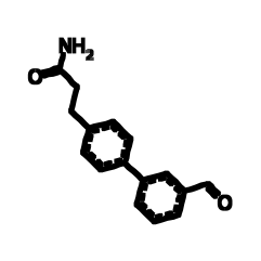 NC(=O)CCc1ccc(-c2cccc(C=O)c2)cc1